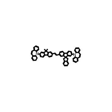 CC1(C)c2cc(/C=C/c3ccc4c(c3)C3(Cc5ccccc5C3)c3cc(N5c6ccccc6C=Cc6ccccc65)ccc3-4)ccc2-c2ccc(N3C4=C(C=CCC4)C=Cc4ccccc43)cc21